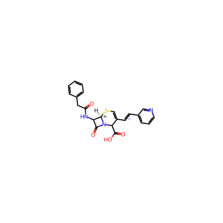 O=C(Cc1ccccc1)NC1C(=O)N2C(C(=O)O)C(/C=C/c3cccnc3)=CS[C@H]12